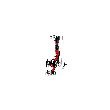 CCCCC(=O)NCCCCCCO[C@]1(C(=O)O)C[C@H](O)[C@@H](NC(=O)CO)[C@H]([C@H](O)[C@H](O)CNC(=O)Cc2ccc(-c3cn(CCOCCOCCOCCOCCC(=O)NCCC)nn3)cc2)O1